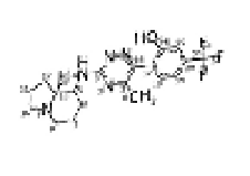 Cc1nc(N[C@H]2CCCN3CCC[C@H]23)nnc1-c1ccc(C(F)(F)F)cc1O